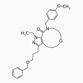 CCn1nc(CCCOCc2ccccc2)c2c1C(=O)N(Cc1ccc(OC)cc1)CCCOCCC2